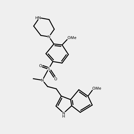 COc1ccc2[nH]cc(CCN(C)S(=O)(=O)c3ccc(OC)c(N4CCNCC4)c3)c2c1